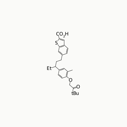 CCC(CCc1ccc2cc(C(=O)O)sc2c1)c1ccc(OCC(=O)C(C)(C)C)c(C)c1